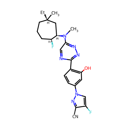 CC[C@]1(C)CCC[C@H](F)[C@H](N(C)c2cnc(-c3ccc(-n4cc(F)c(C#N)n4)cc3O)nn2)C1